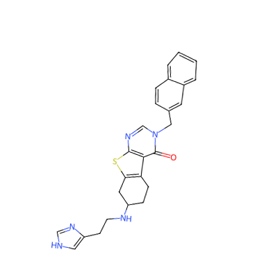 O=c1c2c3c(sc2ncn1Cc1ccc2ccccc2c1)CC(NCCc1c[nH]cn1)CC3